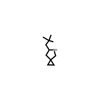 CC(C)(C)CC1CC2(CC2)CN1